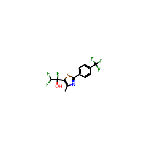 Cc1nc(-c2ccc(C(F)(F)F)cc2)sc1C(O)(F)C(F)F